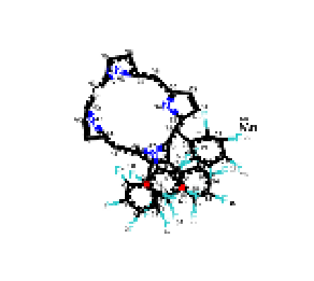 Fc1c(F)c(F)c(-c2c(-c3c(F)c(F)c(F)c(F)c3F)c3c(-c4c(F)c(F)c(F)c(F)c4F)c4nc(cc5ccc(cc6nc(cc2n3-c2c(F)c(F)c(F)c(F)c2F)C=C6)[nH]5)C=C4)c(F)c1F.[Mn]